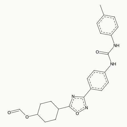 Cc1ccc(NC(=O)Nc2ccc(-c3noc(C4CCC(OC=O)CC4)n3)cc2)cc1